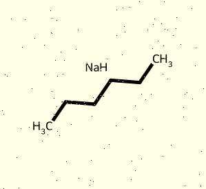 C[CH]CCCC.[NaH]